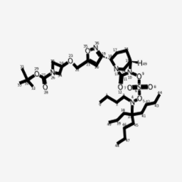 CCCCN(OS(=O)(=O)ON1C(=O)N2C[C@@H]1CC[C@H]2c1cc(COC2CN(C(=O)OC(C)(C)C)C2)on1)C(CCC)(CCCC)CCCC